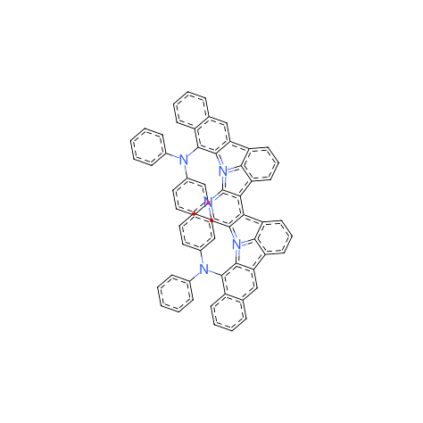 c1ccc(N(c2ccccc2)c2c3ccccc3cc3c4cccc5c6c7c8cccc9c%10cc%11ccccc%11c(N(c%11ccccc%11)c%11ccccc%11)c%10n(c7ncc6n(c23)c45)c98)cc1